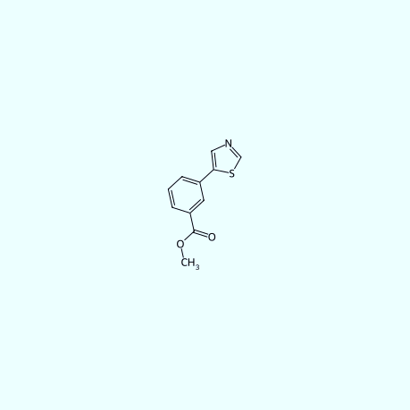 COC(=O)c1cccc(-c2cncs2)c1